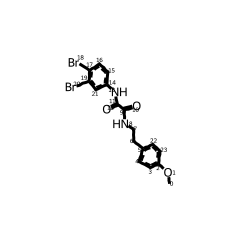 COc1ccc(CCNC(=O)C(=O)Nc2ccc(Br)c(Br)c2)cc1